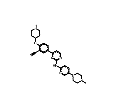 CN1CCN(c2ccc(Nc3nccc(-c4ccc(OC5CCNCC5)c(C#N)c4)n3)nc2)CC1